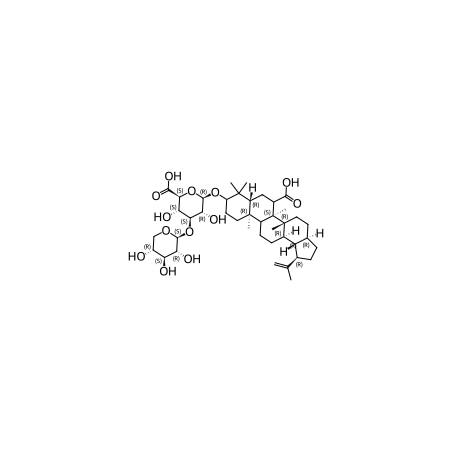 C=C(C)[C@@H]1CC[C@@H]2CC[C@]3(C)[C@H](CCC4[C@@]3(C)C(C(=O)O)C[C@H]3C(C)(C)C(O[C@@H]5O[C@H](C(=O)O)[C@@H](O)[C@H](O[C@@H]6OC[C@@H](O)[C@H](O)[C@H]6O)[C@H]5O)CC[C@]43C)[C@H]21